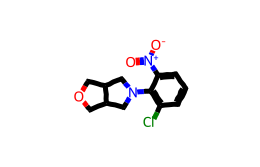 O=[N+]([O-])c1cccc(Cl)c1N1CC2COCC2C1